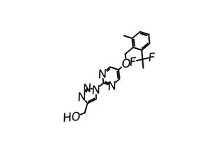 Cc1cccc(C(C)(F)F)c1COc1cnc(-n2cc(CO)nn2)nc1